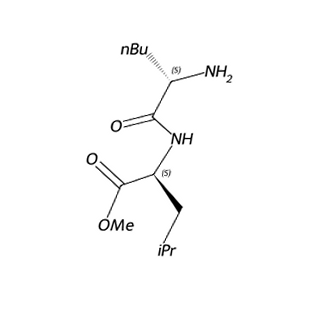 CCCC[C@H](N)C(=O)N[C@@H](CC(C)C)C(=O)OC